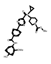 COc1cc(O)ccc1NC(=O)c1ccc(-c2ncc(C(=O)N(C3CC3)C3CCN(C(=O)OC(C)(C)C)CC3)cn2)cc1